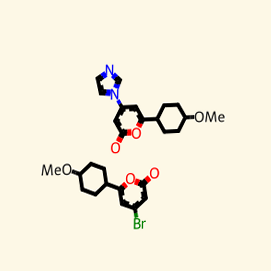 COC1CCC(c2cc(-n3ccnc3)cc(=O)o2)CC1.COC1CCC(c2cc(Br)cc(=O)o2)CC1